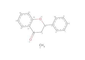 C.O=C1CC(c2ccccc2)Oc2ccccc21